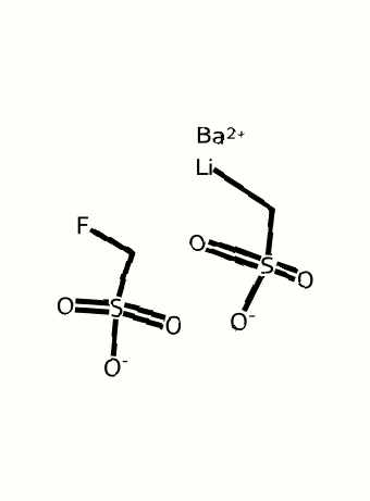 O=S(=O)([O-])CF.[Ba+2].[Li][CH2]S(=O)(=O)[O-]